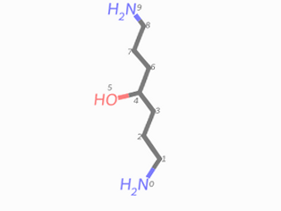 NCCCC(O)CCCN